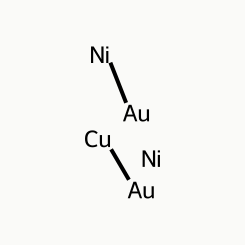 [Cu][Au].[Ni].[Ni][Au]